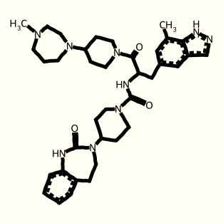 Cc1cc(CC(NC(=O)N2CCC(N3CCc4ccccc4NC3=O)CC2)C(=O)N2CCC(N3CCCN(C)CC3)CC2)cc2cn[nH]c12